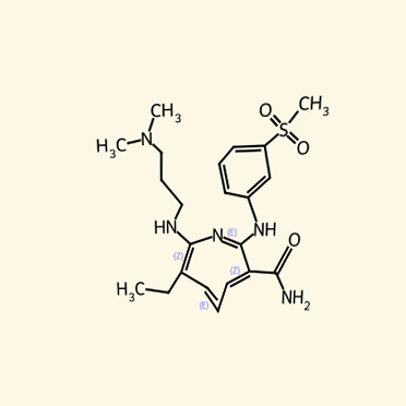 CCC1=C(NCCCN(C)C)/N=C(Nc2cccc(S(C)(=O)=O)c2)\C(C(N)=O)=C\C=C\1